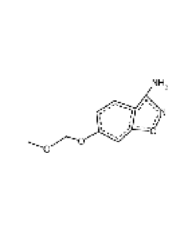 COCOc1ccc2c(N)noc2c1